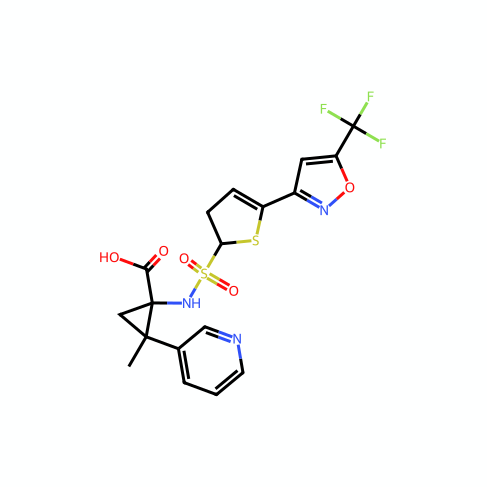 CC1(c2cccnc2)CC1(NS(=O)(=O)C1CC=C(c2cc(C(F)(F)F)on2)S1)C(=O)O